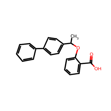 CC(Oc1ccccc1C(=O)O)c1ccc(-c2ccccc2)cc1